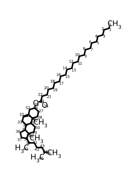 CCCCCCCCCCCCCCCCCCCCCCCC(=O)O[C@H]1CC[C@@]2(C)C(=CCC3C4CCC([C@H](C)CCCC(C)C)[C@@]4(C)CCC32)C1